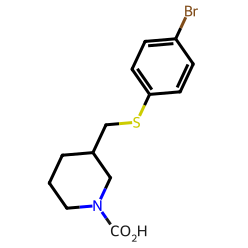 O=C(O)N1CCCC(CSc2ccc(Br)cc2)C1